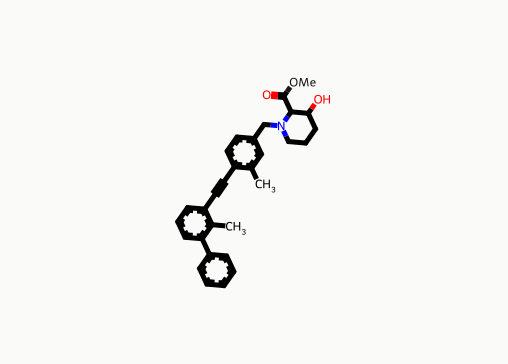 COC(=O)C1C(O)CCCN1Cc1ccc(C#Cc2cccc(-c3ccccc3)c2C)c(C)c1